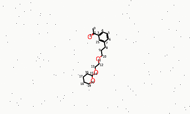 CC(=O)c1cccc(CCCOCCOC2CCCCO2)c1